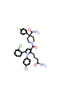 NC(=O)CCCc1c(C(=O)N2CCC(C(N)=O)(c3ccc(F)cc3)CC2)cc(-c2ccccc2Cl)n1-c1ccc(Cl)cc1